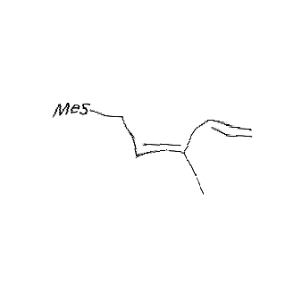 C=C/C(C)=C\CSC